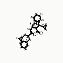 O=c1oc(C(Cc2ccccc2)CC2CC2)cc(O)c1C(c1ccccc1)C1CC1